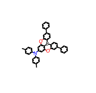 Cc1ccc(N(c2ccc(C)cc2)c2cc3c4c(c2)Oc2cc(-c5ccccc5)ccc2B4c2ccc(-c4ccccc4)cc2O3)cc1